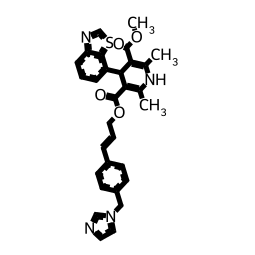 COC(=O)C1=C(C)NC(C)=C(C(=O)OCC=Cc2ccc(Cn3ccnc3)cc2)C1c1cccc2ncsc12